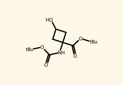 CC(C)(C)OC(=O)NC1(C(=O)OC(C)(C)C)CC(O)C1